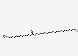 [CH2]CCCCCCCCCCCCCCCCCCCCCCCCCCCCOC(=O)CCCCCC/C=C/C/C=C/CCCCCCCC